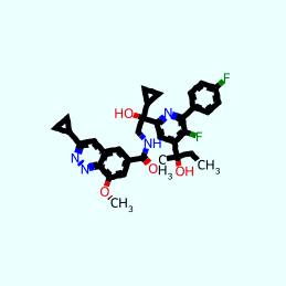 CCC(C)(O)c1cc(C(O)(CNC(=O)c2cc(OC)c3nnc(C4CC4)cc3c2)C2CC2)nc(-c2ccc(F)cc2)c1F